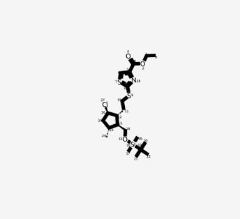 CCOC(=O)c1csc(SCC[C@@H]2[C@@H](CO[Si](C)(C)C(C)(C)C)[C@H](C)C[C@H]2Cl)n1